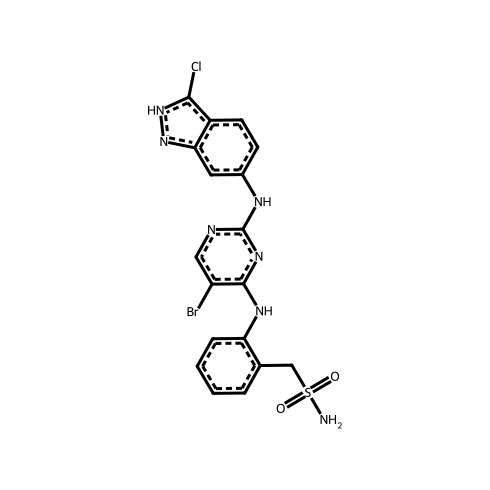 NS(=O)(=O)Cc1ccccc1Nc1nc(Nc2ccc3c(Cl)[nH]nc3c2)ncc1Br